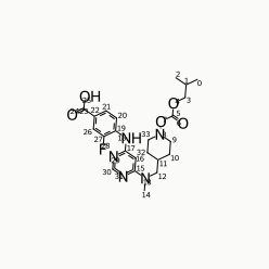 CC(C)COC(=O)ON1CCC(CN(C)c2cc(Nc3ccc(C(=O)O)cc3F)ncn2)CC1